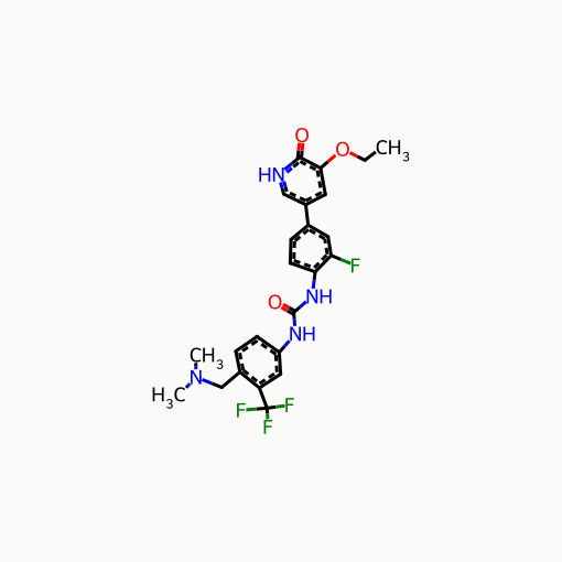 CCOc1cc(-c2ccc(NC(=O)Nc3ccc(CN(C)C)c(C(F)(F)F)c3)c(F)c2)c[nH]c1=O